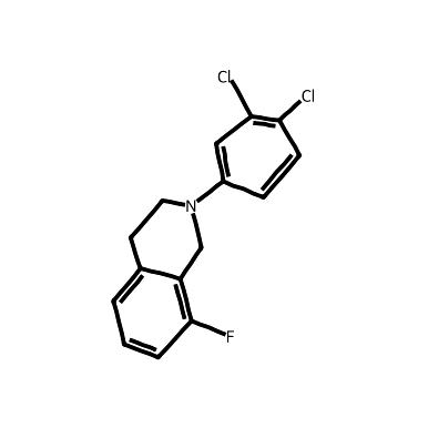 Fc1cccc2c1CN(c1ccc(Cl)c(Cl)c1)CC2